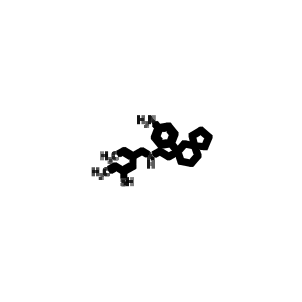 C=C/C(S)=C\C(=C/C)CNCCC1(c2ccc(N)cc2)CCCC2(CCCC2)C1